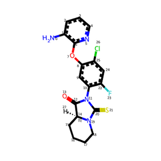 Nc1cccnc1Oc1cc(N2C(=O)[C@@H]3CCCCN3C2=S)c(F)cc1Cl